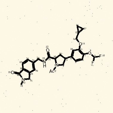 CC(=O)N1CC(c2ccc(OC(F)F)c(OCC3CC3)c2)CC1C(=O)NCc1ccc2c(c1)CN(C)C2=O